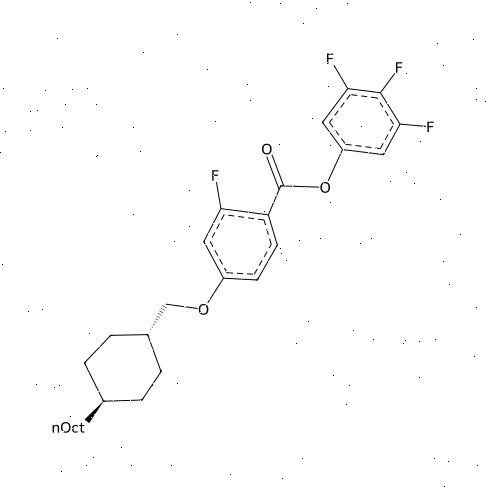 CCCCCCCC[C@H]1CC[C@H](COc2ccc(C(=O)Oc3cc(F)c(F)c(F)c3)c(F)c2)CC1